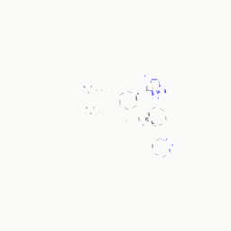 COc1cc(C=O)c(-c2cc(-c3ccccn3)ccc2-n2cncn2)c(OC)c1OC